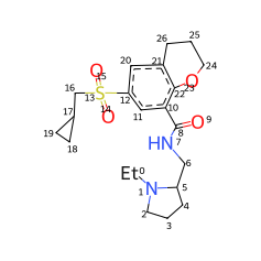 CCN1CCCC1CNC(=O)c1cc(S(=O)(=O)CC2CC2)cc2c1OCCC2